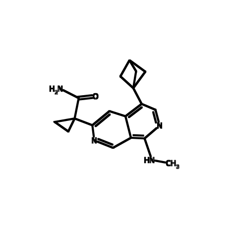 CNc1ncc(C23CC(C2)C3)c2cc(C3(C(N)=O)CC3)ncc12